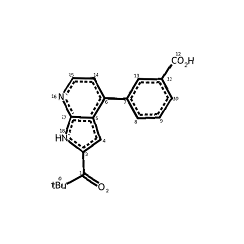 CC(C)(C)C(=O)c1cc2c(-c3cccc(C(=O)O)c3)ccnc2[nH]1